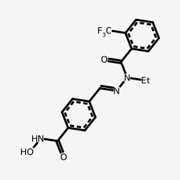 CCN(/N=C/c1ccc(C(=O)NO)cc1)C(=O)c1ccccc1C(F)(F)F